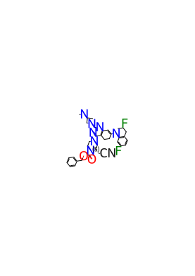 CN(C)C1CN(c2nc3c(c(N4CCN(C(=O)OCc5ccccc5)[C@@H](CC#N)C4)n2)CCC(N2CC(F)Cc4ccc(F)cc42)=C3)C1